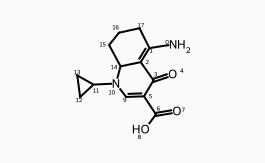 NC1=C2C(=O)C(C(=O)O)=CN(C3CC3)C2CCC1